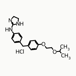 CC(C)OCCOc1ccc(Cc2ccc(NC3=NCCN3)cc2)cc1.Cl